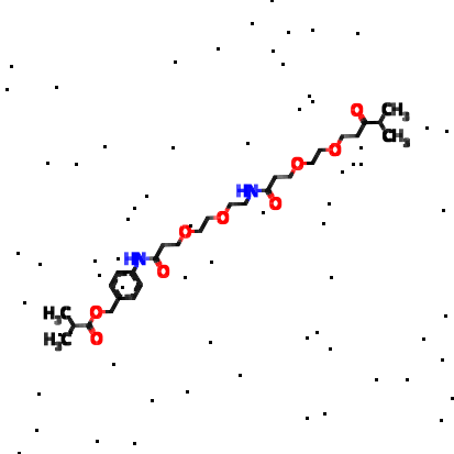 CC(C)C(=O)CCOCCOCCC(=O)NCCOCCOCCC(=O)Nc1ccc(COC(=O)C(C)C)cc1